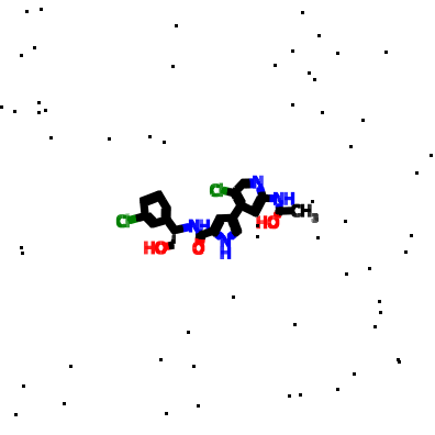 CC(O)Nc1cc(-c2c[nH]c(C(=O)N[C@H](CO)c3cccc(Cl)c3)c2)c(Cl)cn1